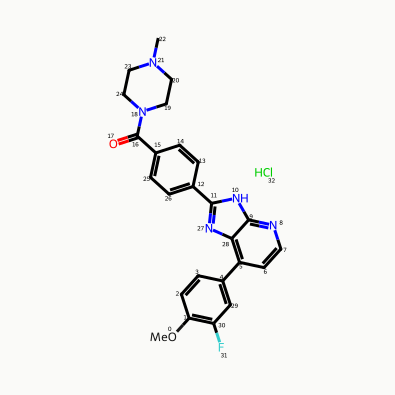 COc1ccc(-c2ccnc3[nH]c(-c4ccc(C(=O)N5CCN(C)CC5)cc4)nc23)cc1F.Cl